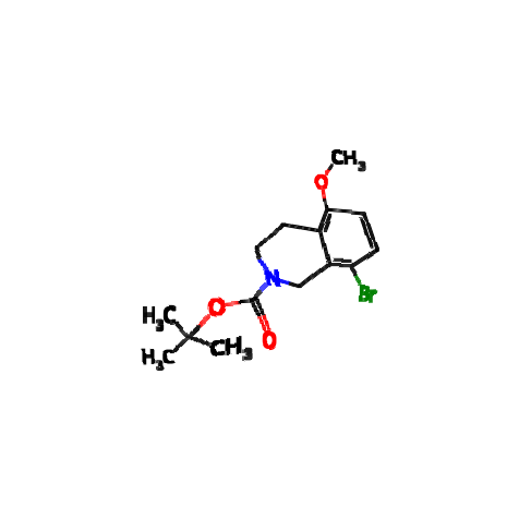 COc1ccc(Br)c2c1CCN(C(=O)OC(C)(C)C)C2